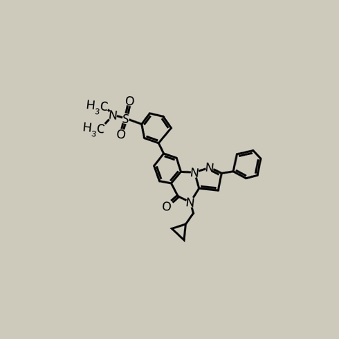 CN(C)S(=O)(=O)c1cccc(-c2ccc3c(=O)n(CC4CC4)c4cc(-c5ccccc5)nn4c3c2)c1